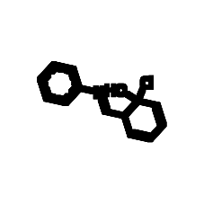 OC1(Cl)C=CC=CC1C=Nc1ccccc1